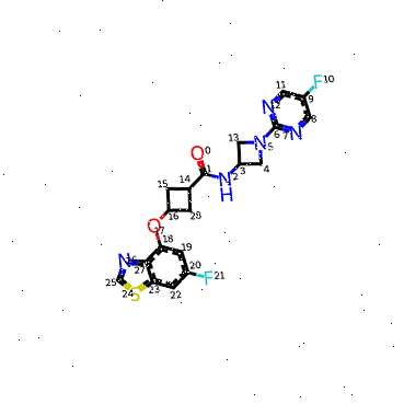 O=C(NC1CN(c2ncc(F)cn2)C1)C1CC(Oc2cc(F)cc3scnc23)C1